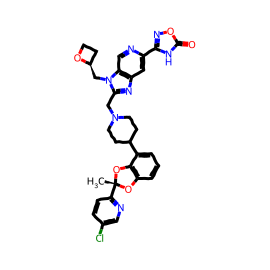 C[C@]1(c2ccc(Cl)cn2)Oc2cccc(C3CCN(Cc4nc5cc(-c6noc(=O)[nH]6)ncc5n4C[C@@H]4CCO4)CC3)c2O1